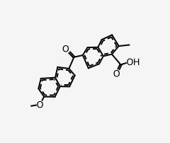 COc1ccc2cc(C(=O)c3ccc4c(C(=O)O)c(C)ccc4c3)ccc2c1